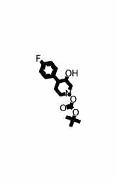 CC(C)(C)OC(=O)ON1CCC(c2ccc(F)cc2)C(O)C1